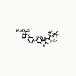 COC(=O)C1(Cc2cccc(-c3ccc([C@H](N[C@@H](CC(C)C)C(=O)NC4(C#N)CC4)C(F)F)cc3)c2)CCC1